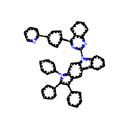 c1ccc(-c2c(-c3ccccc3)n(-c3ccccc3)c3cc4c(cc23)c2ccccc2n4-c2nc(-c3ccc(-c4ccccn4)cc3)c3ccccc3n2)cc1